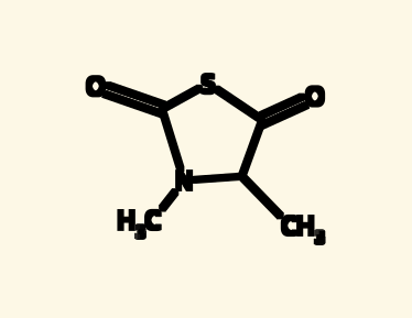 CC1C(=O)SC(=O)N1C